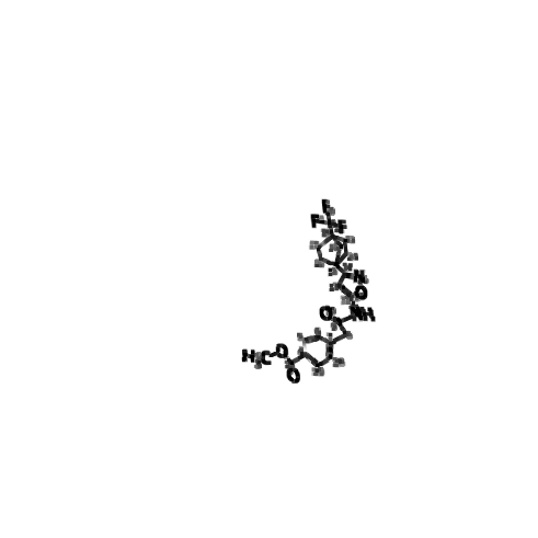 COC(=O)c1ccc(CC(=O)Nc2cc(C34CCC(C(F)(F)F)(CC3)C4)no2)cc1